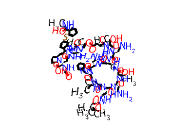 CNC(O)c1ccccc1Sc1ccc2c(/C=C/c3ccccn3)nn(C(=O)N(CCNC(=O)CC[C@H](NC=O)C(=O)O)CC(C)OC(=O)CCC(=O)N[C@H](C(=O)N[C@@H](CCN)C(=O)N[C@H]3CCNC(=O)[C@H]([C@@H](C)O)NC(=O)[C@H](CCN)NC(=O)[C@H](CCNC(=O)OC(C)(C)C)NC(=O)[C@H](CC(C)C)NC(=O)[C@@H](Cc4ccccc4)NC(=O)[C@H](CCN)NC3=O)[C@@H](C)O)c2c1